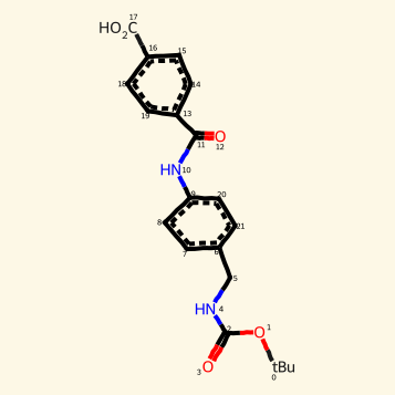 CC(C)(C)OC(=O)NCc1ccc(NC(=O)c2ccc(C(=O)O)cc2)cc1